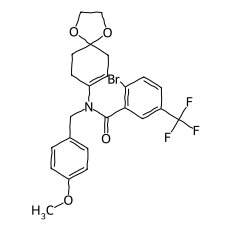 COc1ccc(CN(C(=O)c2cc(C(F)(F)F)ccc2Br)C2=CCC3(CC2)OCCO3)cc1